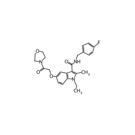 CCn1c(C)c(C(=O)NCc2ccc(F)cc2)c2cc(OCC(=O)N3CCOCC3)ccc21